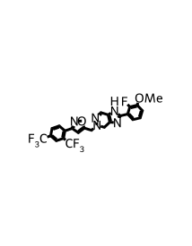 COc1cccc(-c2nc3c([nH]2)C=NN(Cc2cc(-c4ccc(C(F)(F)F)cc4C(F)(F)F)no2)C3)c1F